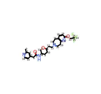 Cc1cc(CC(=O)N[C@H]2CC[C@H](CCN3CCc4ccc(OCC(F)(F)F)nc4CC3)OC2)ccn1